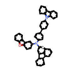 c1ccc2c(c1)-c1cccc3cc(N(c4ccc(-c5ccc(-n6c7ccccc7c7ccccc76)cc5)cc4)c4ccc5oc6ccccc6c5c4)cc-2c13